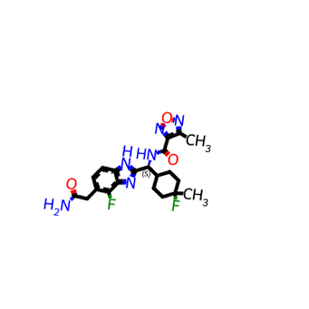 Cc1nonc1C(=O)N[C@H](c1nc2c(F)c(CC(N)=O)ccc2[nH]1)C1CCC(C)(F)CC1